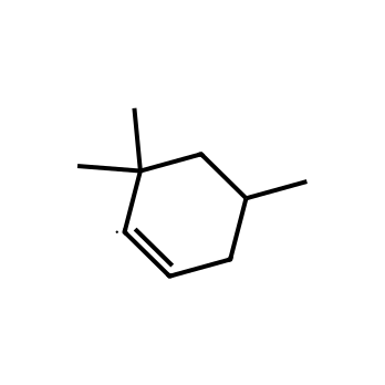 CC1CC=[C]C(C)(C)C1